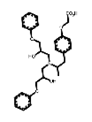 CC(Cc1ccc(OCC(=O)O)cc1)N(CC(O)COc1ccccc1)CC(O)COc1ccccc1